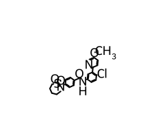 COc1ccc(-c2cc(NC(=O)c3ccc(N4CCCCCS4(=O)=O)cc3)ccc2Cl)nc1